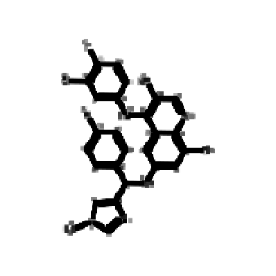 Cn1cnc(C(Nc2cc(Cl)c3ncc(C#N)c(Nc4ccc(F)c(Cl)c4)c3c2)c2ccc(F)cc2)c1